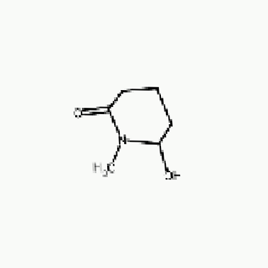 CN1C(=O)CCCC1O